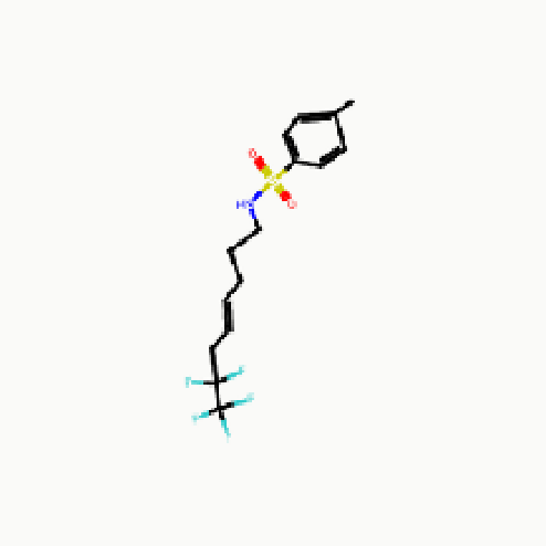 Cc1ccc(S(=O)(=O)NCCC/C=C/CC(F)(F)C(F)(F)F)cc1